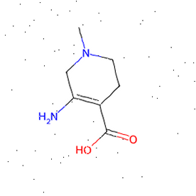 CN1CCC(C(=O)O)=C(N)C1